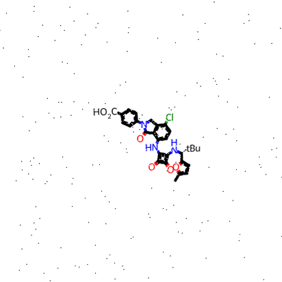 Cc1ccc([C@H](Nc2c(Nc3ccc(Cl)c4c3C(=O)N(c3ccc(C(=O)O)cc3)C4)c(=O)c2=O)C(C)(C)C)o1